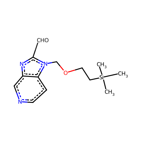 C[Si](C)(C)CCOCn1c(C=O)nc2cnccc21